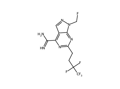 N=C(N)c1nc(CCC(F)(F)C(F)(F)F)nc2c1cnn2CF